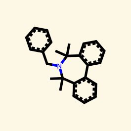 CC1(C)c2ccccc2-c2ccccc2C(C)(C)N1Cc1ccccc1